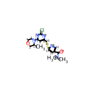 C[C@H]1COCCN1c1cc(CSc2ccc(C(=O)N(C)C)cn2)nc(Cl)n1